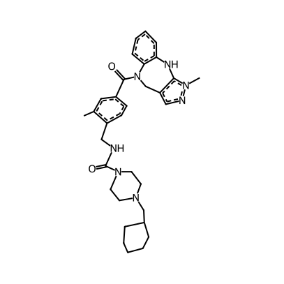 Cc1cc(C(=O)N2Cc3cnn(C)c3Nc3ccccc32)ccc1CNC(=O)N1CCN(CC2CCCCC2)CC1